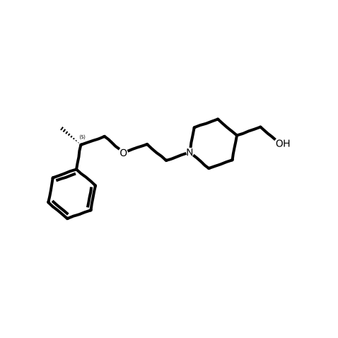 C[C@H](COCCN1CCC(CO)CC1)c1ccccc1